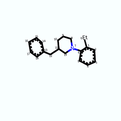 CCc1ccccc1N1CCCC(Cc2ccccc2)C1